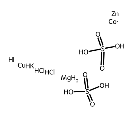 Cl.Cl.I.O=S(=O)(O)O.O=S(=O)(O)O.[Co].[Cu].[KH].[MgH2].[Zn]